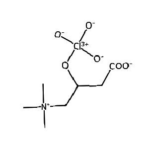 C[N+](C)(C)CC(CC(=O)[O-])O[Cl+3]([O-])([O-])[O-]